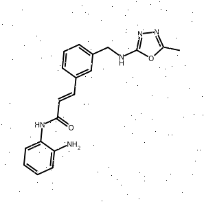 Cc1nnc(NCc2cccc(/C=C/C(=O)Nc3ccccc3N)c2)o1